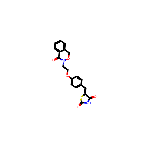 O=C1NC(=O)C(=Cc2ccc(OCCN3OCc4ccccc4C3=O)cc2)S1